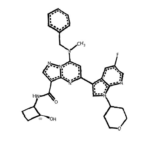 CN(Cc1ccccc1)c1cc(-c2cn(C3CCOCC3)c3ncc(F)cc23)nc2c(C(=O)NC3CC[C@@H]3O)cnn12